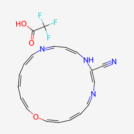 N#Cc1cncccccoccccccnccc[nH]1.O=C(O)C(F)(F)F